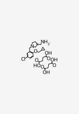 NC[C@@H]1CCN(Cc2cc(Cl)ccc2OCC2CC2)C1.O=C(O)CCC(=O)O.O=C(O)CCC(=O)O